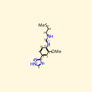 COc1cc(-c2nc[nH]n2)ccc1/N=C/NCCSC